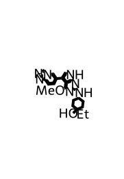 CCC1(O)CCC(Nc2nc(OC)c3c(-c4ccc5nncn5c4)c[nH]c3n2)CC1